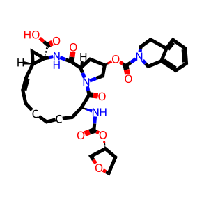 O=C(N[C@H]1CCCCC/C=C\[C@@H]2C[C@@]2(C(=O)O)NC(=O)[C@@H]2C[C@@H](OC(=O)N3CCc4ccccc4C3)CN2C1=O)O[C@@H]1CCOC1